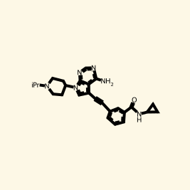 CC(C)N1CCC(n2cc(C#Cc3cccc(C(=O)NC4CC4)c3)c3c(N)ncnc32)CC1